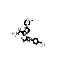 C[C@H]1CN(C2=NC3=C(C(N)=O)CN(c4cn(C5CCC(CO)CC5)nc4C(F)F)N3C=C2)CCO1